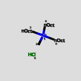 CCCCCCCC[N+](C)(CCCCCCCC)CCCCCCCC.Cl